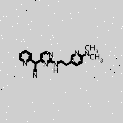 CN(C)c1ccc(CCNc2nccc(C(C#N)c3ccccn3)n2)cn1